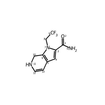 NC(=O)c1cc2c(n1CC(F)(F)F)CNC=C2